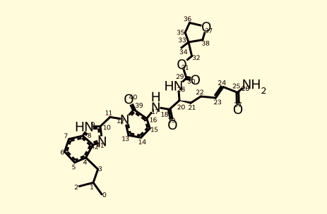 CC(C)Cc1cccc2[nH]c(Cn3cccc(NC(=O)[C@H](CC/C=C/C(N)=O)NC(=O)OCC4(C)CCOC4)c3=O)nc12